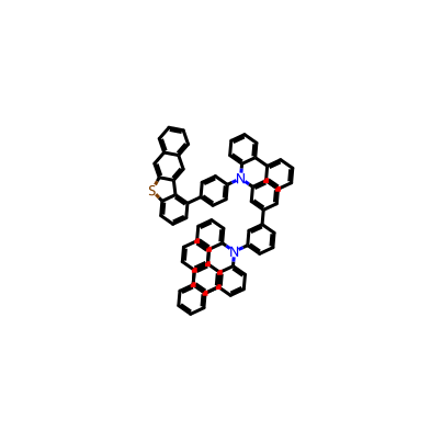 c1ccc(-c2ccccc2-c2cccc(N(c3cccc(-c4cccc(N(c5ccc(-c6cccc7sc8cc9ccccc9cc8c67)cc5)c5ccccc5-c5ccccc5)c4)c3)c3ccccc3-c3ccccc3)c2)cc1